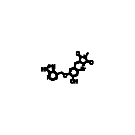 CN1C(=O)S/C(=C\c2cc(OCc3ccnc4[nH]cnc34)c(O)cc2Br)C1=O